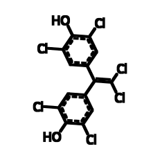 Oc1c(Cl)cc(C(=C(Cl)Cl)c2cc(Cl)c(O)c(Cl)c2)cc1Cl